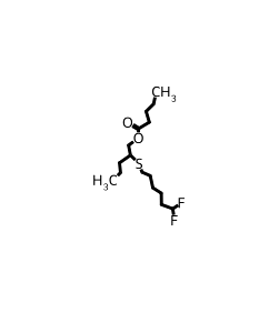 CCCCC(=O)OCC(CCC)SCCCCCC(F)F